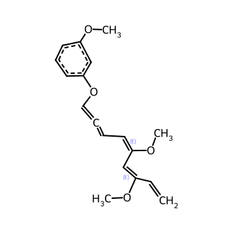 C=C/C(=C\C(=C/C=C=COc1cccc(OC)c1)OC)OC